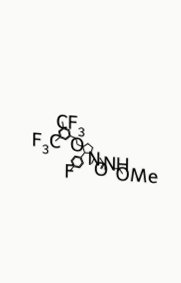 COCCNC(=O)CN(C)C1CCC(O[C@@H](C)c2cc(C(F)(F)F)cc(C(F)(F)F)c2)C1c1ccc(F)cc1